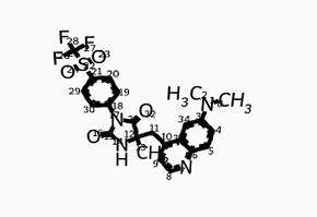 CN(C)c1ccc2nccc(CC3(C)NC(=O)N(c4ccc(S(=O)(=O)C(F)(F)F)cc4)C3=O)c2c1